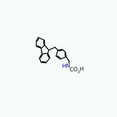 O=C(O)NCc1ccc(CC2c3ccccc3-c3ccccc32)cc1